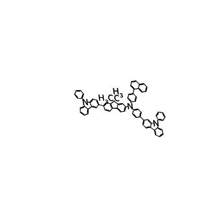 CC1(C)c2cc(-c3ccc4c(c3)c3ccccc3n4-c3ccccc3)ccc2-c2ccc(N(c3ccc(-c4ccc5c6ccccc6n(-c6ccccc6)c5c4)cc3)c3ccc(-c4cccc5ccccc45)cc3)cc21